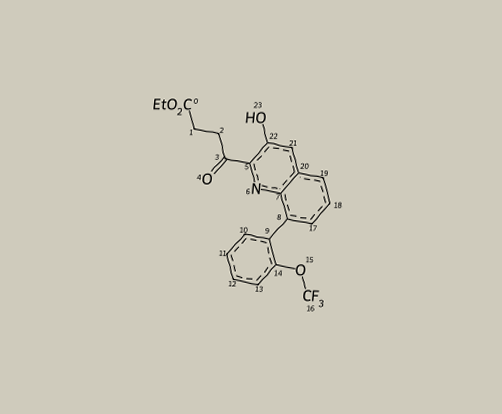 CCOC(=O)CCC(=O)c1nc2c(-c3ccccc3OC(F)(F)F)cccc2cc1O